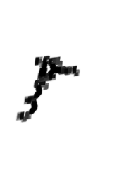 CC#N.CC(=O)O.CCNCC.O